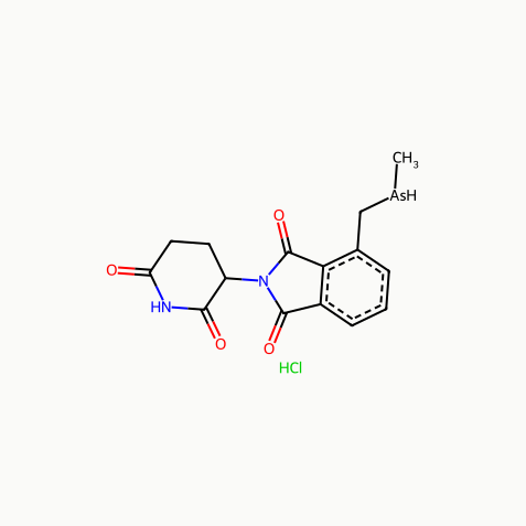 C[AsH]Cc1cccc2c1C(=O)N(C1CCC(=O)NC1=O)C2=O.Cl